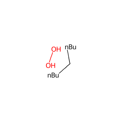 CCCCCCCCC.OO